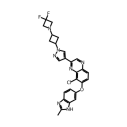 Cc1nc2ccc(Oc3ccc4ncc(-c5cnn(C6CC(N7CC(F)(F)C7)C6)c5)nc4c3Cl)cc2[nH]1